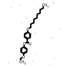 CCCCCCCCCCOc1ccc(C(=O)Oc2ccc(OCC)cc2)cc1